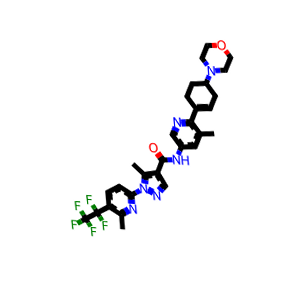 Cc1cc(NC(=O)c2cnn(-c3ccc(C(F)(F)C(F)(F)F)c(C)n3)c2C)cnc1C1=CCC(N2CCOCC2)CC1